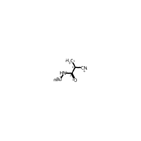 CCCCNC(=O)C(C)C#N